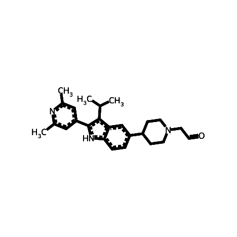 Cc1cc(-c2[nH]c3ccc(C4CCN(CC=O)CC4)cc3c2C(C)C)cc(C)n1